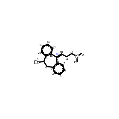 CCC1Cc2ccccc2/C(=C\CCN(C)C)c2ccccc21